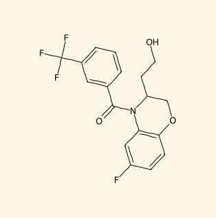 O=C(c1cccc(C(F)(F)F)c1)N1c2cc(F)ccc2OCC1CCO